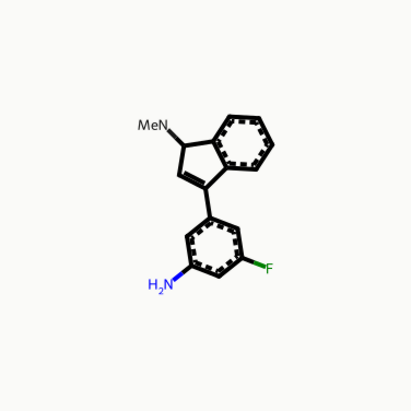 CNC1C=C(c2cc(N)cc(F)c2)c2ccccc21